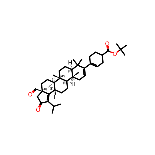 CC(C)C1=C2[C@H]3CC[C@@H]4[C@@]5(C)CC=C(C6=CCC(C(=O)OC(C)(C)C)CC6)C(C)(C)[C@@H]5CC[C@@]4(C)[C@]3(C)CC[C@@]2(C=O)CC1=O